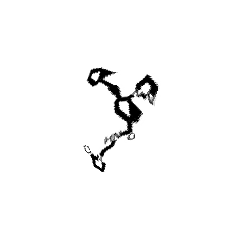 O=C(NCCN1CCCC1=O)c1ccc(-n2cccn2)c(C#Cc2ccccc2)c1